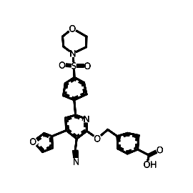 N#Cc1c(-c2ccoc2)cc(-c2ccc(S(=O)(=O)N3CCOCC3)cc2)nc1OCc1ccc(C(=O)O)cc1